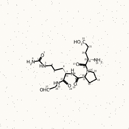 NC(=O)NCCC[C@H](NC(=O)[C@@H]1CCCN1C(=O)[C@@H](N)CCC(=O)O)C(=O)NCC=O